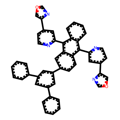 c1ccc(-c2cc(-c3ccccc3)cc(-c3ccc4c(-c5cc(-c6cocn6)ccn5)c5ccccc5c(-c5cc(-c6cocn6)ccn5)c4c3)c2)cc1